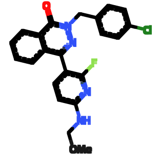 COCNc1ccc(-c2nn(Cc3ccc(Cl)cc3)c(=O)c3ccccc23)c(F)n1